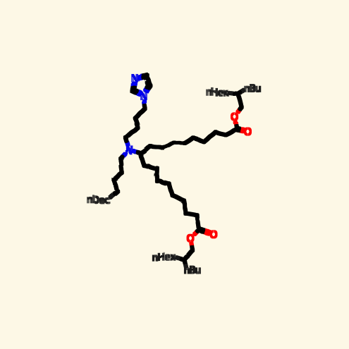 CCCCCCCCCCCCCCN(CCCCn1ccnc1)C(CCCCCCCCC(=O)OCC(CCCC)CCCCCC)CCCCCCCCC(=O)OCC(CCCC)CCCCCC